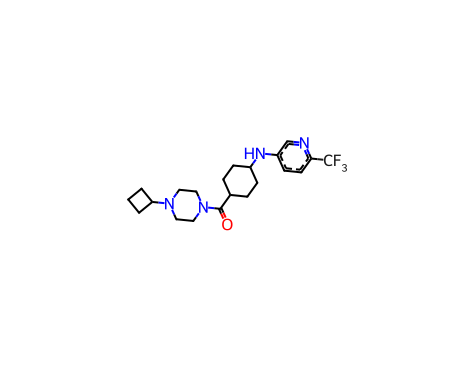 O=C(C1CCC(Nc2ccc(C(F)(F)F)nc2)CC1)N1CCN(C2CCC2)CC1